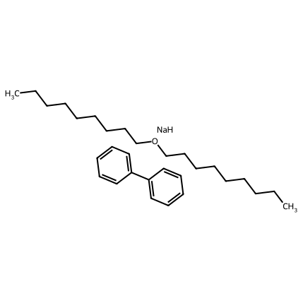 CCCCCCCCCOCCCCCCCCC.[NaH].c1ccc(-c2ccccc2)cc1